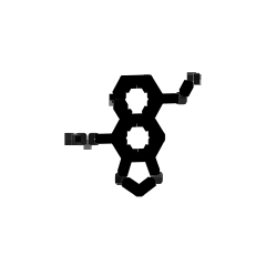 CCOC(=O)c1c2c(cc3c(OCC)ccnc13)OCO2